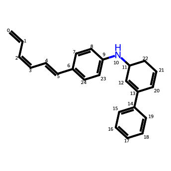 C=C/C=C\C=C\c1ccc(NC2C=C(c3ccccc3)C=CC2)cc1